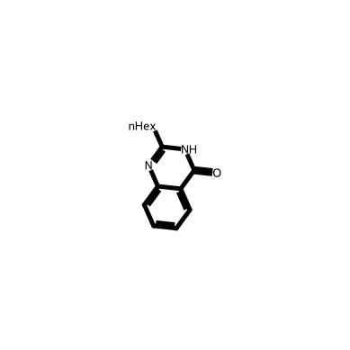 CCCCCCc1nc2ccccc2c(=O)[nH]1